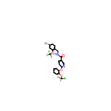 O=C(NCc1ccc(Br)cc1OC(F)(F)F)c1ccc(Oc2ccccc2OC(F)(F)F)nc1